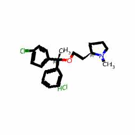 CN1CCC[C@@H]1CCO[C@](C)(c1ccccc1)c1ccc(Cl)cc1.Cl